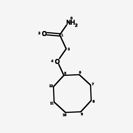 NC(=O)COC1CCCCCCC1